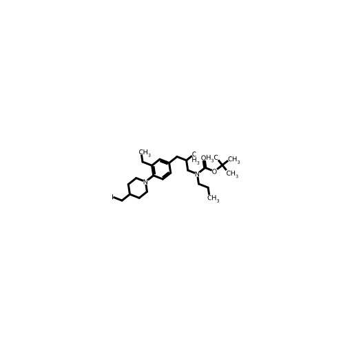 CCCN(CC(C)Cc1ccc(N2CCC(CI)CC2)c(CC)c1)C(=O)OC(C)(C)C